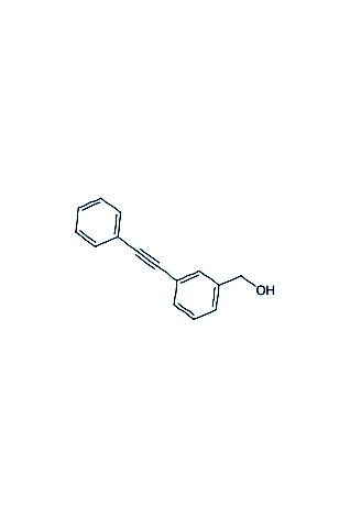 OCc1cccc(C#Cc2ccccc2)c1